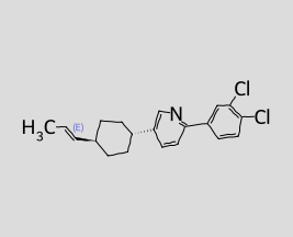 C/C=C/[C@H]1CC[C@H](c2ccc(-c3ccc(Cl)c(Cl)c3)nc2)CC1